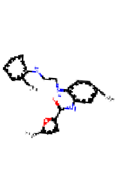 Cc1ccc(C(=O)Nc2cc(C(=O)O)ccc2NCCNc2ccccc2C)o1